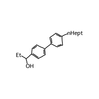 CCCCCCCc1ccc(-c2ccc(C(O)CC)cc2)cc1